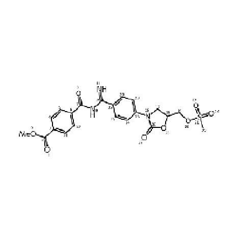 COC(=O)c1ccc(C(=O)NC(=N)c2ccc(N3CC(COS(C)(=O)=O)OC3=O)cc2)cc1